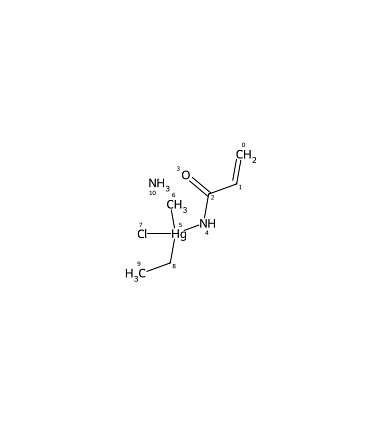 C=CC(=O)[NH][Hg]([CH3])([Cl])[CH2]C.N